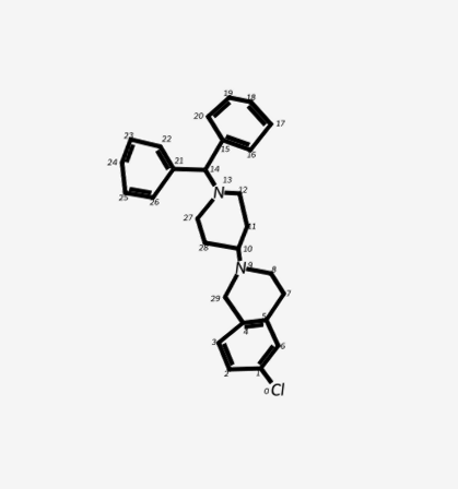 Clc1ccc2c(c1)CCN(C1CCN(C(c3ccccc3)c3ccccc3)CC1)C2